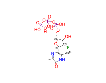 C#Cc1[nH]c(=O)c(C)nc1[C@@H]1O[C@H](COP(=O)(O)OP(=O)(O)OP(=O)(O)O)C(O)[C@@H]1F